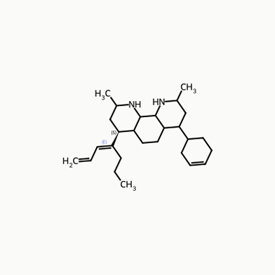 C=C/C=C(\CCC)[C@H]1CC(C)NC2C3NC(C)CC(C4CC=CCC4)C3CCC21